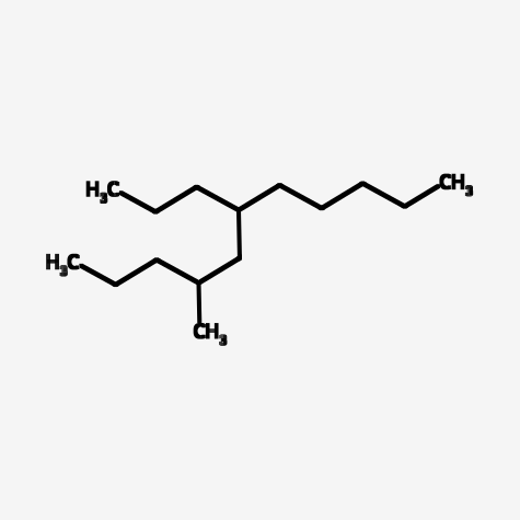 CCCCCC(CCC)CC(C)CCC